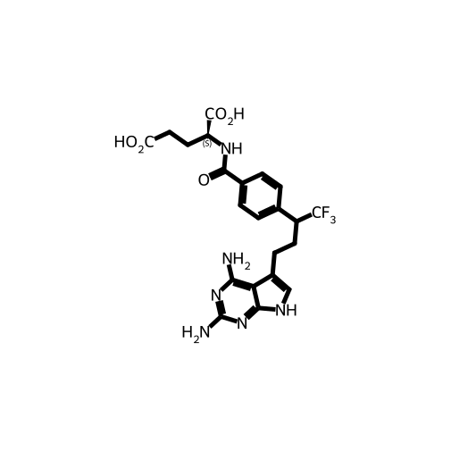 Nc1nc(N)c2c(CCC(c3ccc(C(=O)N[C@@H](CCC(=O)O)C(=O)O)cc3)C(F)(F)F)c[nH]c2n1